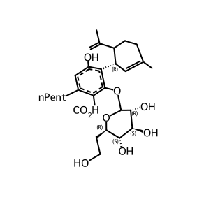 C=C(C)C1CCC(C)=C[C@@H]1c1c(O)cc(CCCCC)c(C(=O)O)c1OC1O[C@H](CCO)[C@@H](O)[C@H](O)[C@H]1O